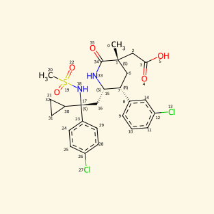 C[C@@]1(CC(=O)O)C[C@H](c2cccc(Cl)c2)[C@H](C[C@@](NS(C)(=O)=O)(c2ccc(Cl)cc2)C2CC2)NC1=O